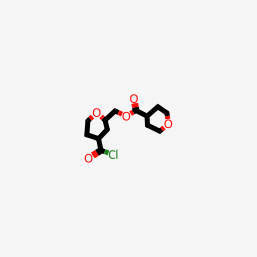 O=C(Cl)C1CCOC(COC(=O)C2CCOCC2)C1